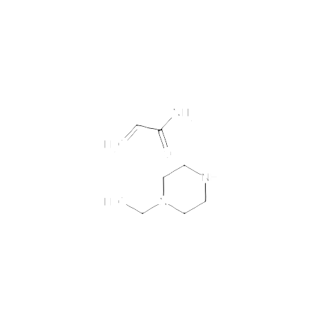 C=CC(N)=O.CCN1CCNCC1